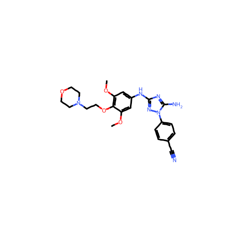 COc1cc(Nc2nc(N)n(-c3ccc(C#N)cc3)n2)cc(OC)c1OCCN1CCOCC1